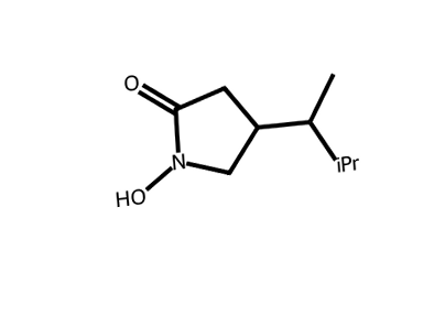 CC(C)C(C)C1CC(=O)N(O)C1